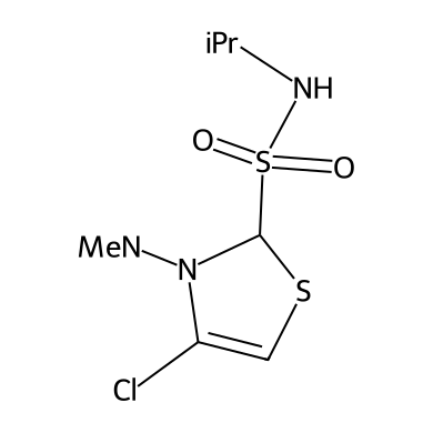 CNN1C(Cl)=CSC1S(=O)(=O)NC(C)C